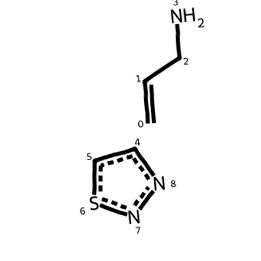 C=CCN.c1csnn1